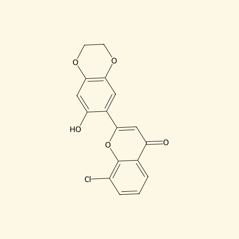 O=c1cc(-c2cc3c(cc2O)OCCO3)oc2c(Cl)cccc12